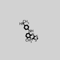 CNc1ccc(Nc2ccc(C)c3nc4c(nc23)SCS4)cc1